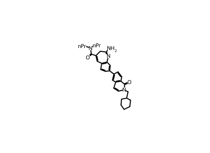 CCCN(CCC)C(=O)C1=Cc2ccc(-c3ccc4c(=O)n(CC5CCCCC5)ccc4c3)cc2N=C(N)C1